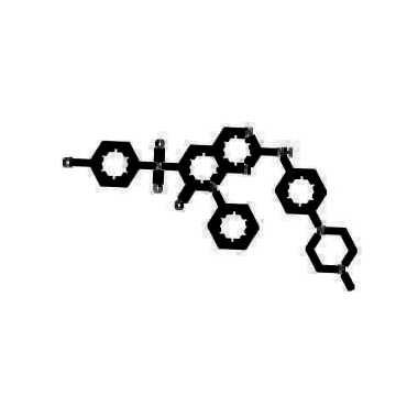 CN1CCN(c2ccc(Nc3ncc4cc(S(=O)(=O)c5ccc(Cl)cc5)c(=O)n(-c5ccccc5)c4n3)cc2)CC1